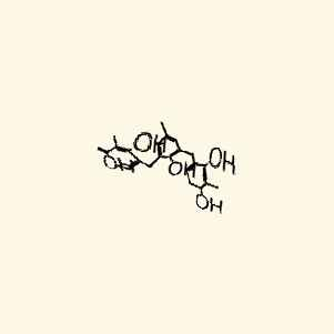 C=C(O)/C(C)=C(O)\C(=C/C)Cc1cc(C)cc(CC2=CCC(O)C(C)=C2O)c1O